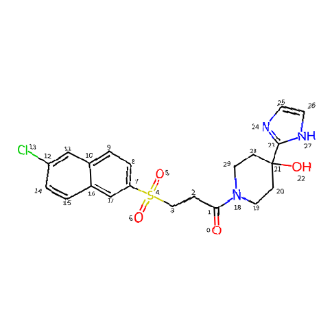 O=C(CCS(=O)(=O)c1ccc2cc(Cl)ccc2c1)N1CCC(O)(c2ncc[nH]2)CC1